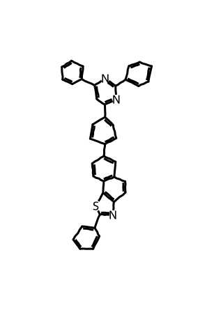 c1ccc(-c2cc(-c3ccc(-c4ccc5c(ccc6nc(-c7ccccc7)sc65)c4)cc3)nc(-c3ccccc3)n2)cc1